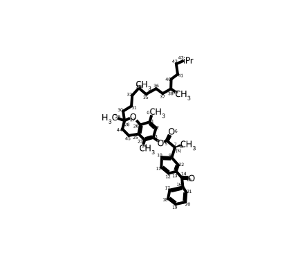 Cc1cc(OC(=O)[C@@H](C)c2cccc(C(=O)c3ccccc3)c2)c(C)c2c1OC(C)(CCCC(C)CCCC(C)CCCC(C)C)CC2